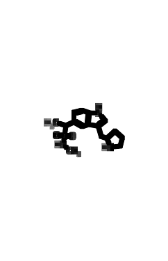 CNS(=O)(=O)C(C)c1ccc2[nH]cc(CC3CCCN3)c2c1